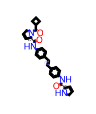 O=C(Nc1ccc(/C=C/c2ccc(NC(=O)[C@@H]3C=CCN3C(=O)C3CCC3)cc2)cc1)[C@@H]1C=CCN1